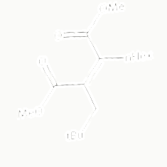 CCCCCC/C(C(=O)OC)=C(\CC(C)(C)C)C(=O)OC